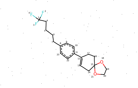 FC(F)(F)CCCCc1ccc(C2=CCC3(CC2)OCCO3)cc1